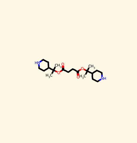 CC(C)(OC(=O)CCC(=O)OC(C)(C)C1CCNCC1)C1CCNCC1